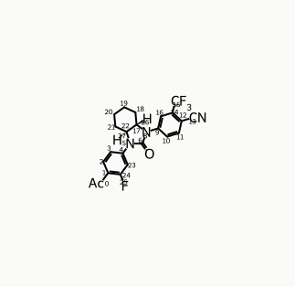 CC(=O)c1ccc(N2C(=O)N(c3ccc(C#N)c(C(F)(F)F)c3)[C@H]3CCCC[C@@H]32)cc1F